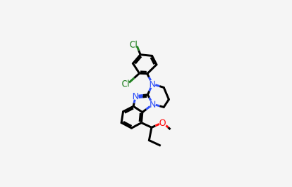 CCC(OC)c1cccc2nc3n(c12)CCCN3c1ccc(Cl)cc1Cl